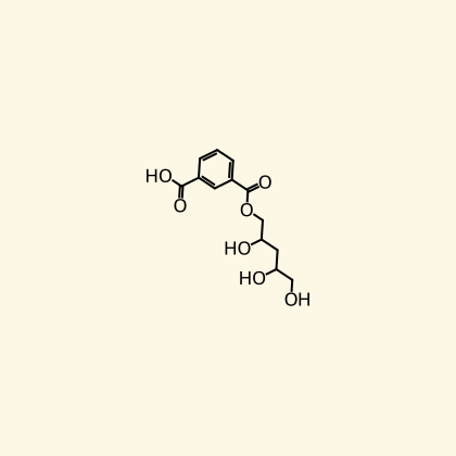 O=C(O)c1cccc(C(=O)OCC(O)CC(O)CO)c1